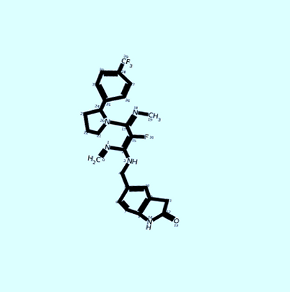 C=N/C(NCc1ccc2c(c1)CC(=O)N2)=C(F)\C(=N/C)N1CCCC1c1ccc(C(F)(F)F)cc1